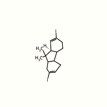 CC1(C)C2CC(I)=CCC2C2CCC(I)=C[C@@H]21